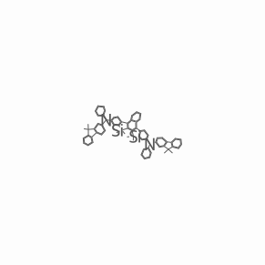 CC1(C)c2ccccc2-c2ccc(N(c3ccccc3)c3ccc4c(c3)[Si](C)(C)c3c5c(c6ccccc6c3-4)-c3ccc(N(c4ccccc4)c4ccc6c(c4)C(C)(C)c4ccccc4-6)cc3[Si]5(C)C)cc21